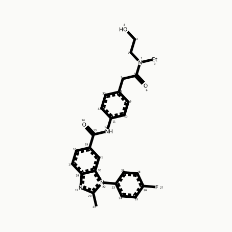 CCN(CCO)C(=O)Cc1ccc(NC(=O)c2ccc3nc(C)n(-c4ccc(F)cc4)c3c2)cc1